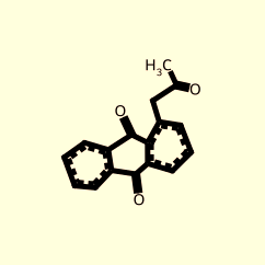 CC(=O)Cc1cccc2c1C(=O)c1ccccc1C2=O